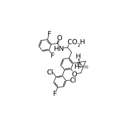 O=C(NC(Cc1ccc(-c2c(Cl)cc(F)cc2Cl)c2c1[C@@H]1C[C@@H]1CO2)C(=O)O)c1c(F)cccc1F